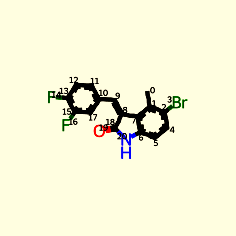 Cc1c(Br)ccc2c1C(=Cc1ccc(F)c(F)c1)C(=O)N2